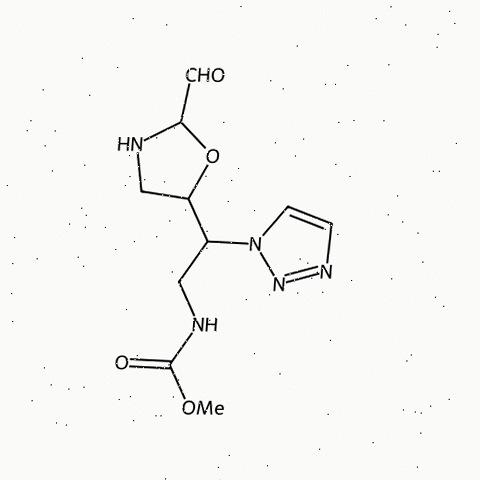 COC(=O)NCC(C1CNC(C=O)O1)n1ccnn1